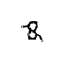 O=Cc1ccnc2c(Cl)cccc12